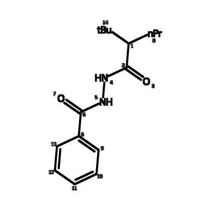 CCCC(C(=O)NNC(=O)c1ccccc1)C(C)(C)C